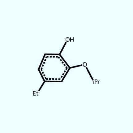 CCc1ccc(O)c(OC(C)C)c1